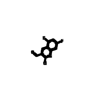 O=Cc1cc2c(F)cc(F)cc2nc1Cl